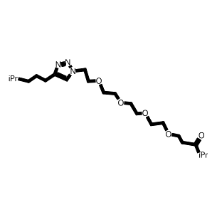 CC(C)CCCc1cn(CCOCCOCCOCCOCCC(=O)C(C)C)nn1